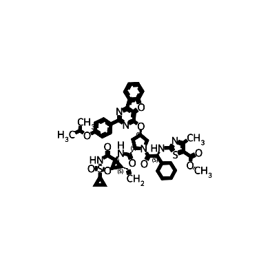 C=C[C@@H]1C[C@]1(NC(=O)[C@@H]1C[C@@H](Oc2nc(-c3ccc(OC(C)C)cc3)nc3c2oc2ccccc23)CN1C(=O)[C@@H](Nc1nc(C)c(C(=O)OC)s1)C1CCCCC1)C(=O)NS(=O)(=O)C1CC1